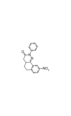 O=C1CC2CCc3ccc([N+](=O)[O-])cc3C2=NN1c1ccccc1